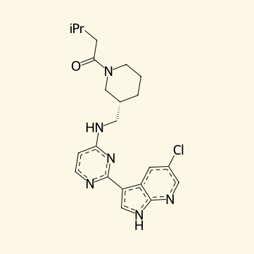 CC(C)CC(=O)N1CCC[C@H](CNc2ccnc(-c3c[nH]c4ncc(Cl)cc34)n2)C1